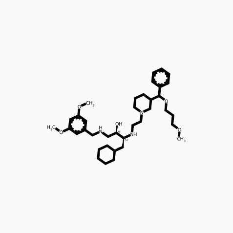 COCCCOC(c1ccccc1)C1CCCN(CCN[C@@H](CC2CCCCC2)[C@H](O)CNCc2cc(OC)cc(OC)c2)C1